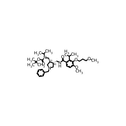 COCCCOc1c(OC)ccc(C(=O)NC[C@@H]2CN(Cc3ccccc3)C[C@H]2CN(C(=O)OC(C)(C)C)C(C)C)c1C(C)C